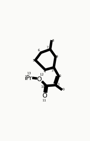 CC(=CC1CCCC(C)C1)C(=O)OC(C)C